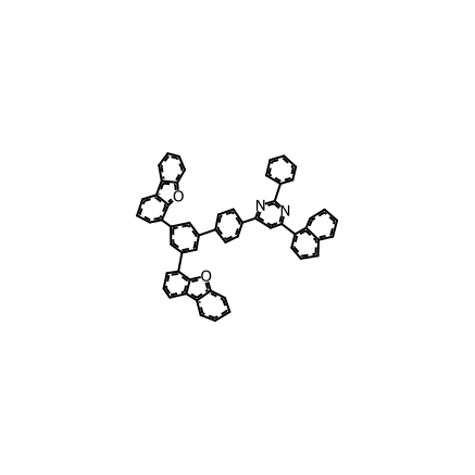 c1ccc(-c2nc(-c3ccc(-c4cc(-c5cccc6c5oc5ccccc56)cc(-c5cccc6c5oc5ccccc56)c4)cc3)cc(-c3cccc4ccccc34)n2)cc1